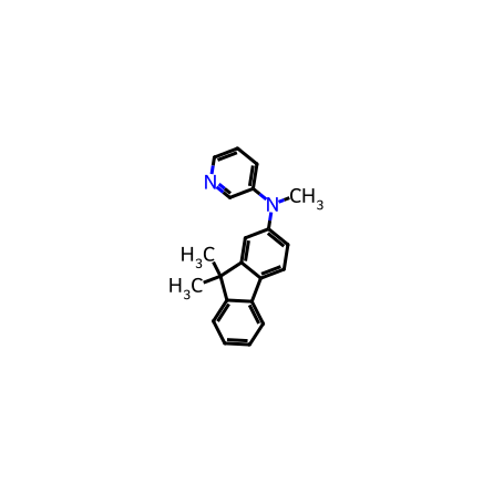 CN(c1cccnc1)c1ccc2c(c1)C(C)(C)c1ccccc1-2